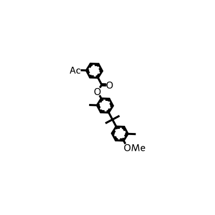 COc1ccc(C(C)(C)c2ccc(OC(=O)c3cccc(C(C)=O)c3)c(C)c2)cc1C